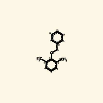 Cc1cccc(C(F)(F)F)c1OCc1ccccc1